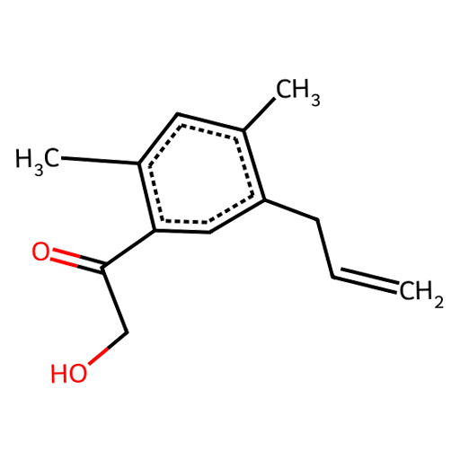 C=CCc1cc(C(=O)CO)c(C)cc1C